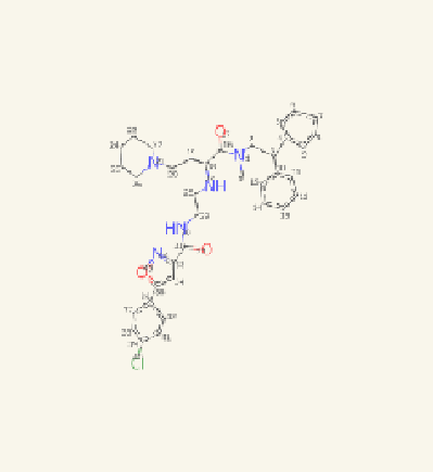 CN(CC(c1ccccc1)c1ccccc1)C(=O)[C@H](CCN1CCCCC1)NCCNC(=O)c1cc(-c2ccc(Cl)cc2)on1